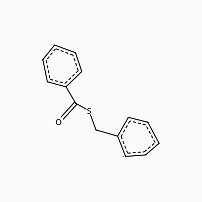 O=C(SCc1[c]cccc1)c1ccccc1